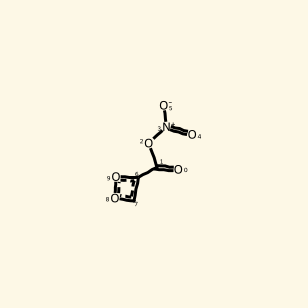 O=C(O[N+](=O)[O-])c1coo1